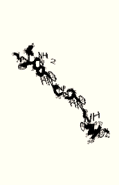 CCCN(CCC)C(=O)C1=Cc2ccc(C(=O)Nc3ccc(N4CCC(C(=O)NCCNC(=O)CCC(C)(C)OCC)CC4)nc3)cc2N=C(N)C1